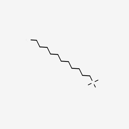 CCCCCCCCCCCC[Si](C)(C)Br